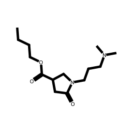 CCCCOC(=O)C1CC(=O)N(CCCN(C)C)C1